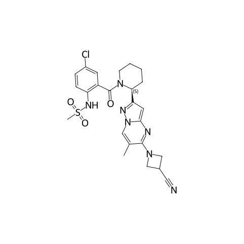 Cc1cn2nc([C@@H]3CCCCN3C(=O)c3cc(Cl)ccc3NS(C)(=O)=O)cc2nc1N1CC(C#N)C1